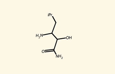 CC(C)CC(N)C(O)C(N)=O